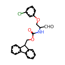 O=CC(COc1cccc(Cl)c1)NC(=O)OCC1c2ccccc2-c2ccccc21